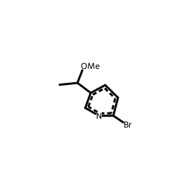 COC(C)c1ccc(Br)nc1